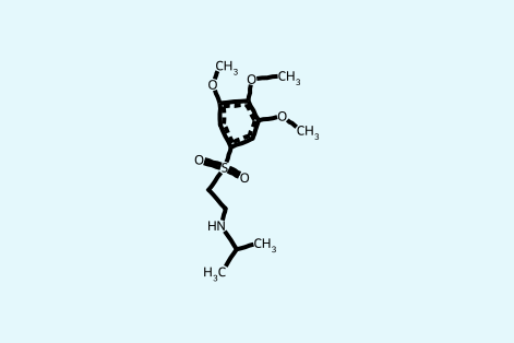 COc1cc(S(=O)(=O)CCNC(C)C)cc(OC)c1OC